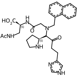 CC(=O)NC[C@H](NC(=O)CN(Cc1cccc2ccccc12)C(C(=O)CCc1c[nH]cn1)[C@@H]1CCCN1)C(=O)O